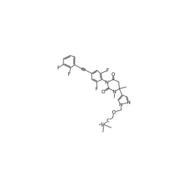 CN1C(=O)N(c2c(F)cc(C#Cc3cccc(F)c3F)cc2F)C(=O)CC1(C)c1cnn(COCC[Si](C)(C)C)c1